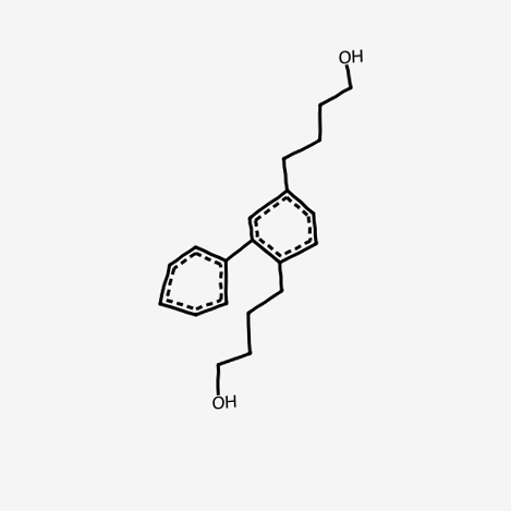 OCCCCc1ccc(CCCCO)c(-c2ccccc2)c1